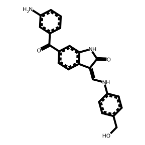 Nc1cccc(C(=O)c2ccc3c(c2)NC(=O)C3=CNc2ccc(CO)cc2)c1